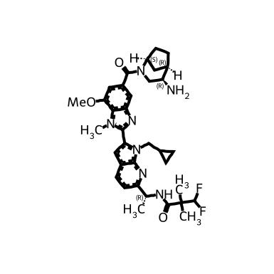 COc1cc(C(=O)N2C[C@H](N)[C@@H]3CC[C@H]2C3)cc2nc(-c3cc4ccc([C@@H](C)NC(=O)C(C)(C)C(F)F)nc4n3CC3CC3)n(C)c12